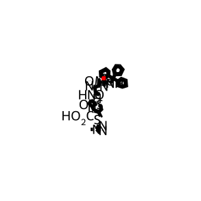 CON=C(C(=O)NC1C(=O)N2C(C(=O)O)=C(CSc3nncn3C)CS[C@@H]12)c1csc(NC(c2ccccc2)(c2ccccc2)c2ccccc2)n1